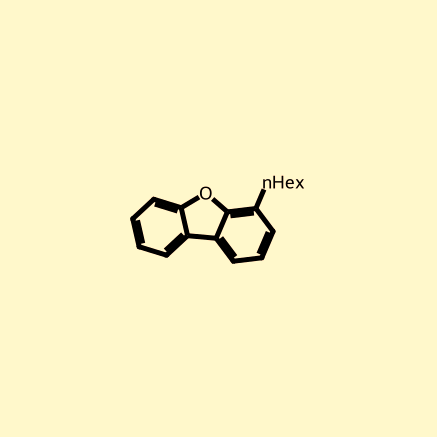 CCCCCCc1cccc2c1oc1ccccc12